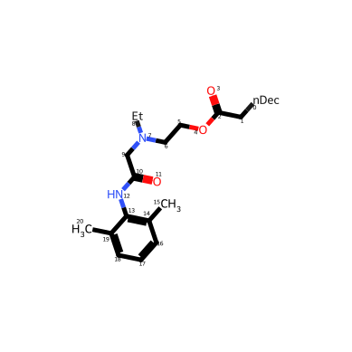 CCCCCCCCCCCC(=O)OCCN(CC)CC(=O)Nc1c(C)cccc1C